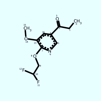 CCC(=O)c1cnc(OCC(F)F)c(OC)c1